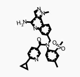 Cc1ccc(N(Cc2ccc3c(c2)nc(N)c2cnn(C)c23)C(=O)c2ccc(C3CC3)nc2)c(S(C)(=O)=O)c1